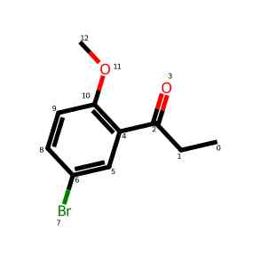 CCC(=O)c1cc(Br)ccc1OC